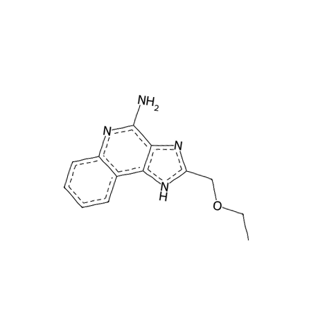 CCOCc1nc2c(N)nc3ccccc3c2[nH]1